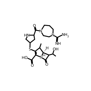 CC(O)C1C(=O)N2C(C(=O)O)=C(SC3CNC(C(=O)N4CCCN(C(=N)N)CC4)C3)C(C)[C@@H]12